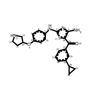 Nc1nc(Nc2ccc(OC3CCNC3)cc2)sc1C(=O)c1cccc(C2CC2)c1